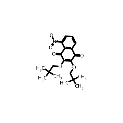 CC(C)(C)COC1=C(OCC(C)(C)C)C(=O)c2c(cccc2[N+](=O)[O-])C1=O